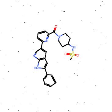 CS(=O)(=O)NC1CCN(C(=O)c2cccc(-c3cnc4[nH]c(-c5ccccc5)cc4c3)n2)CC1